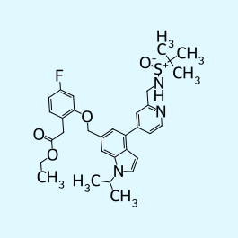 CCOC(=O)Cc1ccc(F)cc1OCc1cc(-c2ccnc(CN[S@@+]([O-])C(C)(C)C)c2)c2ccn(C(C)C)c2c1